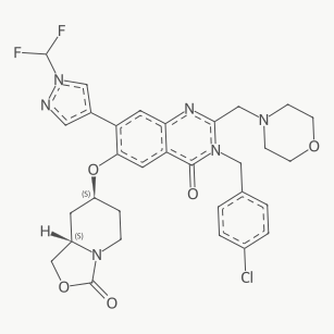 O=C1OC[C@@H]2C[C@@H](Oc3cc4c(=O)n(Cc5ccc(Cl)cc5)c(CN5CCOCC5)nc4cc3-c3cnn(C(F)F)c3)CCN12